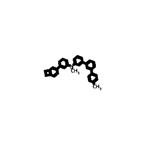 Cc1ccc(-c2cccc(-c3cccc(N(C)C4=CCCC(c5ccc6c(c5)CC6)=C4)c3)c2)cc1